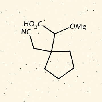 COC(C(=O)O)C1(CC#N)CCCC1